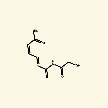 C=C(/N=C/C=C\C(=N)C(C)(C)C)NC(=O)CO